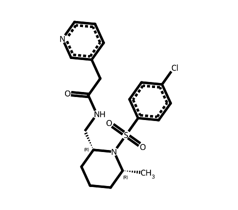 C[C@@H]1CCC[C@H](CNC(=O)Cc2cccnc2)N1S(=O)(=O)c1ccc(Cl)cc1